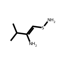 CC(C)/C(N)=C/SN